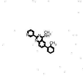 CNc1nc(-c2cccnc2)nc2ccc(C3=CCCC=C3C)cc12